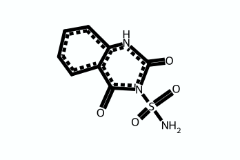 NS(=O)(=O)n1c(=O)[nH]c2ccccc2c1=O